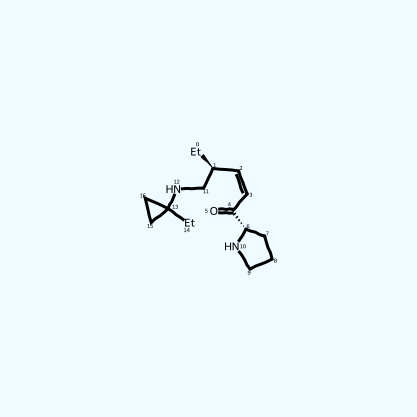 CC[C@@H](/C=C\C(=O)[C@@H]1CCCN1)CNC1(CC)CC1